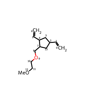 C=CC1CC(C=C)C(COCCOC)C1